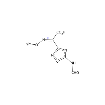 CCCO/N=C(/C(=O)O)c1nsc(NC=O)n1